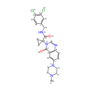 CC(=O)N1CCN(c2ccc3ncn(C4(C(=O)NCc5ccc(Cl)c(Cl)c5)CC4)c(=O)c3c2)CC1